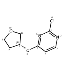 Clc1nccc(O[C@@H]2CCOC2)n1